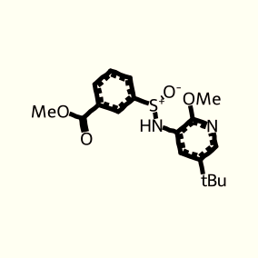 COC(=O)c1cccc([S+]([O-])Nc2cc(C(C)(C)C)cnc2OC)c1